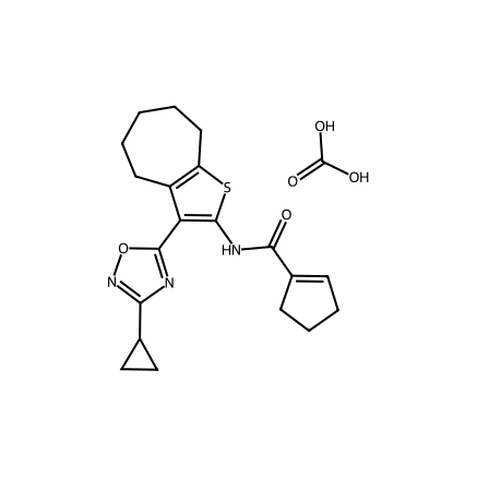 O=C(Nc1sc2c(c1-c1nc(C3CC3)no1)CCCCC2)C1=CCCC1.O=C(O)O